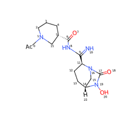 CC(=O)N1CCC[C@H](C(=O)NC(=N)[C@@H]2CC[C@@H]3CN2C(=O)N3O)C1